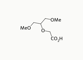 COCC(COC)OCC(=O)O